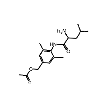 CC(=O)OCc1cc(C)c(NC(=O)C(N)CC(C)C)c(C)c1